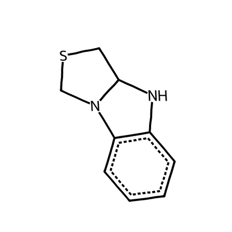 c1ccc2c(c1)NC1CSCN21